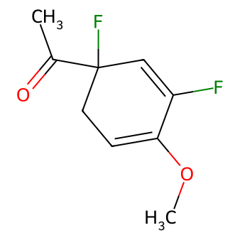 COC1=CCC(F)(C(C)=O)C=C1F